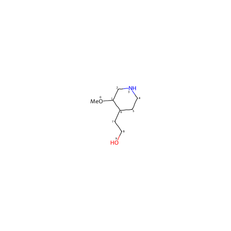 COC1CNCCC1CCO